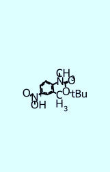 Cc1cc([N+](=O)O)ccc1N(C)C(=O)OC(C)(C)C